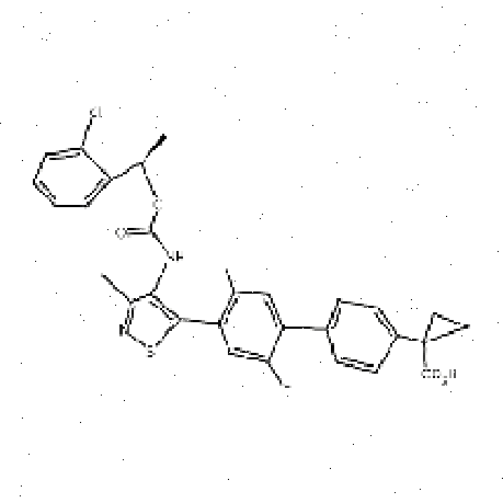 Cc1cc(-c2ccc(C3(C(=O)O)CC3)cc2)c(F)cc1-c1snc(C)c1NC(=O)O[C@H](C)c1ccccc1Cl